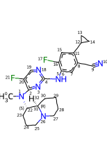 CN(c1nc(Nc2cc(C#N)c(C3CC3)cc2F)ncc1F)[C@H]1CCCN2CCCC[C@H]12